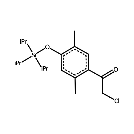 Cc1cc(C(=O)CCl)c(C)cc1O[Si](C(C)C)(C(C)C)C(C)C